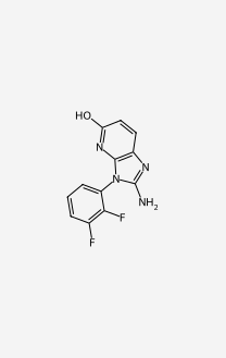 Nc1nc2ccc(O)nc2n1-c1cccc(F)c1F